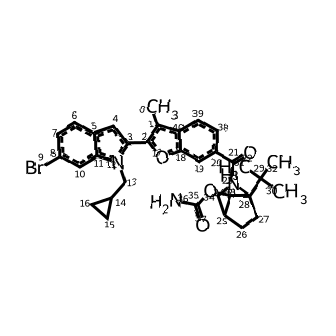 Cc1c(-c2cc3ccc(Br)cc3n2CC2CC2)oc2cc(C(=O)N3CC4CCC3(C(C)(C)C)[C@@H]4OC(N)=O)ccc12